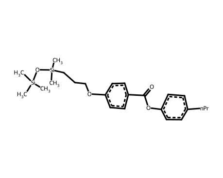 CCCc1ccc(OC(=O)c2ccc(OCCC[Si](C)(C)O[Si](C)(C)C)cc2)cc1